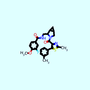 COc1ccc(C(=O)NCC2C3CC3CN2C(=O)c2nc(C)sc2-c2cccc(C)c2)cc1F